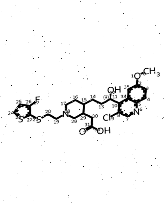 COc1ccc2ncc(Cl)c([C@H](O)CCC3CCN(CCSc4sccc4F)CC3CC(=O)O)c2c1